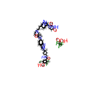 O=C(O)C(F)(F)F.O=C1CCN(c2cnn3cc(CCCN4CCO[C@@]5(CCN(c6ccc7cn(C8CCC(CNC(=O)c9cc(F)c(O)c(F)c9F)CC8)nc7c6)C5)C4)ccc23)C(=O)N1